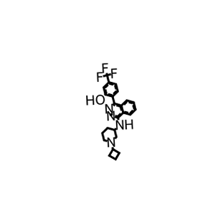 Oc1cc(C(F)(F)F)ccc1-c1nnc(NC2CCCN(C3CCC3)C2)c2ccccc12